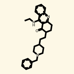 CCNc1c2c(nc3ccccc13)CCC(CCC1CCN(Cc3ccccc3)CC1)C2=O